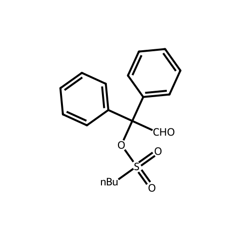 CCCCS(=O)(=O)OC(C=O)(c1ccccc1)c1ccccc1